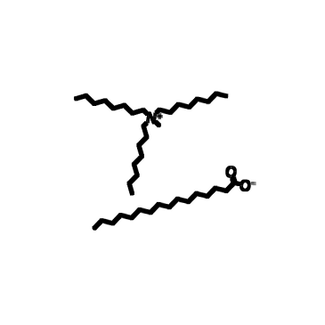 CCCCCCCCCCCCCCCC(=O)[O-].CCCCCCCC[N+](C)(CCCCCCCC)CCCCCCCC